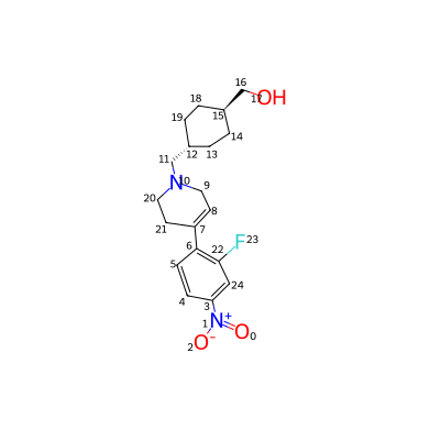 O=[N+]([O-])c1ccc(C2=CCN(C[C@H]3CC[C@H](CO)CC3)CC2)c(F)c1